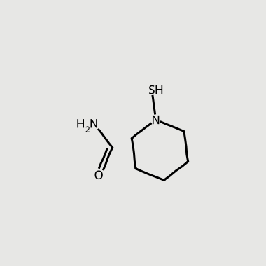 NC=O.SN1CCCCC1